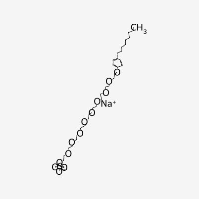 CCCCCCCCCc1ccc(OCCOCCOCCOCCOCCOCCOCCOCCOCCOS(=O)(=O)[O-])cc1.[Na+]